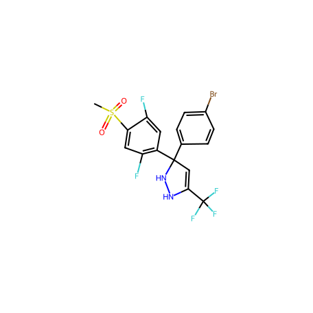 CS(=O)(=O)c1cc(F)c(C2(c3ccc(Br)cc3)C=C(C(F)(F)F)NN2)cc1F